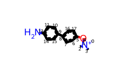 C[N+](C)(C)Oc1ccc(-c2ccc(N)cc2)cc1